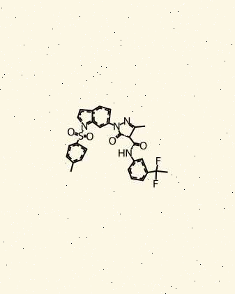 CC1=NN(c2ccc3ccn(S(=O)(=O)c4ccc(C)cc4)c3c2)C(=O)C1C(=O)Nc1cccc(C(C)(F)F)c1